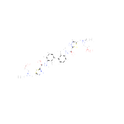 CN(CCO)Cc1cnc(C(=O)N2CCc3c(-c4cccc5c4CCN5C(=O)c4ncc(CN(C)CCO)s4)cccc32)s1